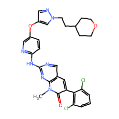 Cn1c(=O)c(-c2c(Cl)cccc2Cl)cc2cnc(Nc3ccc(Oc4cnn(CCC5CCOCC5)c4)cn3)nc21